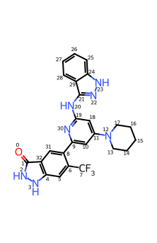 O=c1[nH][nH]c2cc(C(F)(F)F)c(-c3cc(N4CCCCC4)cc(Nc4n[nH]c5ccccc45)n3)cc12